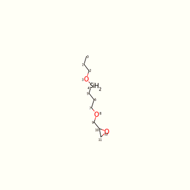 CCCO[SiH2]CCCOCC1CO1